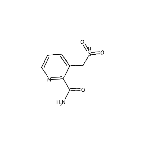 NC(=O)c1ncccc1C[SH](=O)=O